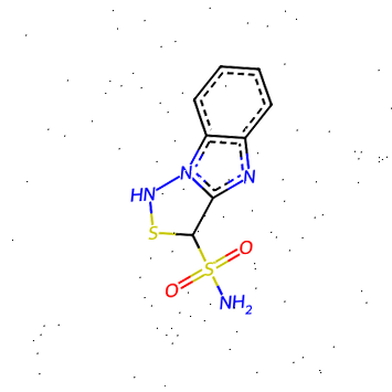 NS(=O)(=O)C1SNn2c1nc1ccccc12